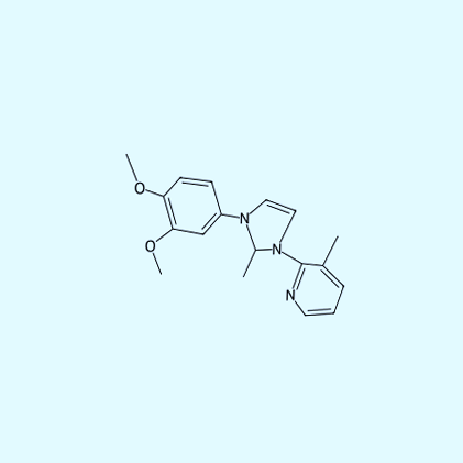 COc1ccc(N2C=CN(c3ncccc3C)C2C)cc1OC